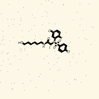 C[C@H](C(=O)NCCCCCCO)N(c1cc(Cl)ccc1F)S(=O)(=O)c1ccc(Cl)cc1